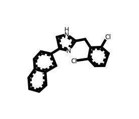 Clc1cccc(Cl)c1Cc1nc(-c2ccc3ccccc3c2)c[nH]1